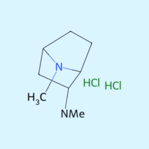 CNC1CC2CCC1N2C.Cl.Cl